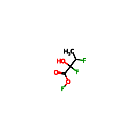 CC(F)C(O)(F)C(=O)OF